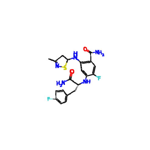 CC1=NSC(Nc2cc(N[C@H](Cc3ccc(F)cc3)C(N)=O)c(F)cc2C(N)=O)C1